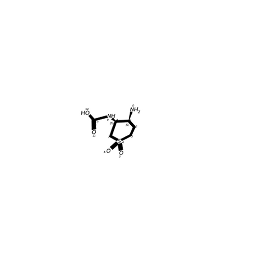 N[C@H]1CCS(=O)(=O)C[C@H]1NC(=O)O